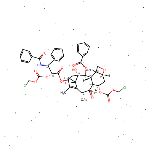 CC(=O)O[C@H]1C(=O)[C@]2(C)[C@@H](OC(=O)OCCl)C[C@H]3OC[C@@]3(OC(C)=O)[C@H]2[C@H](OC(=O)c2ccccc2)[C@]2(O)C[C@H](OC(=O)[C@H](OC(=O)OCCl)[C@@H](NC(=O)c3ccccc3)c3ccccc3)C(C)=C1C2(C)C